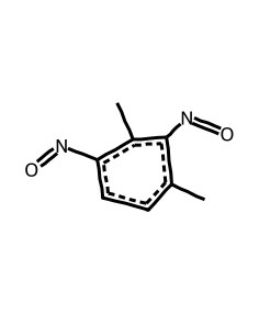 Cc1ccc(N=O)c(C)c1N=O